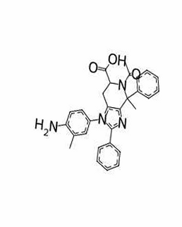 CC(=O)N1C(C(=O)O)Cc2c(nc(-c3ccccc3)n2-c2ccc(N)c(C)c2)C1(C)c1ccccc1